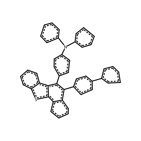 c1ccc(-c2ccc(-c3c(-c4ccc(N(c5ccccc5)c5ccccc5)cc4)c4c5ccccc5sc4c4ccccc34)cc2)cc1